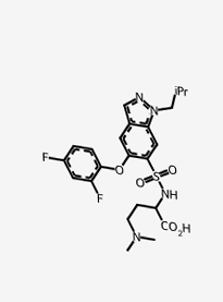 CC(C)Cn1ncc2cc(Oc3ccc(F)cc3F)c(S(=O)(=O)NC(CCN(C)C)C(=O)O)cc21